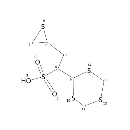 O=S(=O)(O)C(CC1CS1)C1SCSCS1